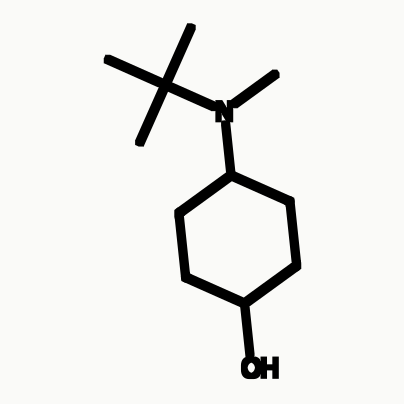 CN(C1CCC(O)CC1)C(C)(C)C